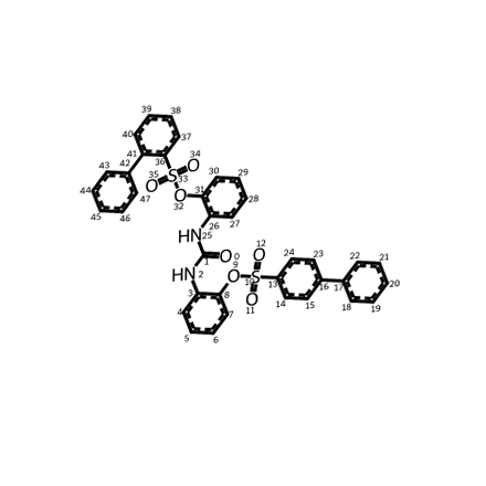 O=C(Nc1ccccc1OS(=O)(=O)c1ccc(-c2ccccc2)cc1)Nc1ccccc1OS(=O)(=O)c1ccccc1-c1ccccc1